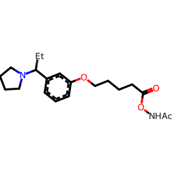 CCC(c1cccc(OCCCCC(=O)ONC(C)=O)c1)N1CCCC1